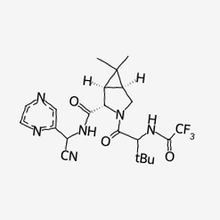 CC(C)(C)C(NC(=O)C(F)(F)F)C(=O)N1C[C@H]2[C@@H]([C@H]1C(=O)NC(C#N)c1cnccn1)C2(C)C